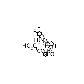 N[C@@H](CC(=O)N1CC[C@H]2CN(C(=O)c3ccccc3)C[C@H]21)Cc1cc(F)c(F)cc1F.O=C(O)C=CC(=O)O